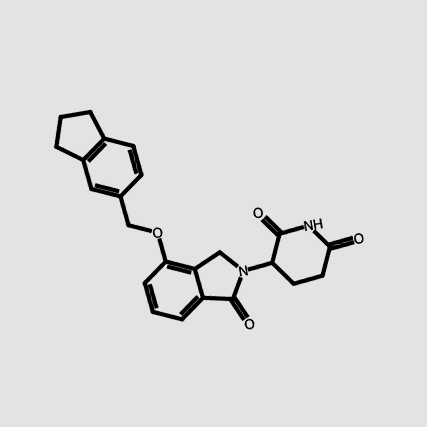 O=C1CCC(N2Cc3c(OCc4ccc5c(c4)CCC5)cccc3C2=O)C(=O)N1